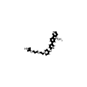 Cn1c2ccncc2c2ccc(-c3ccc(OC4CCN(CCOCCCOC5CNC5)CC4)nc3)cc21